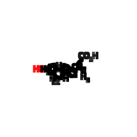 CC[C@H]1C[C@@H]2[C@H](CC[C@]3(C)[C@@H](C(C)CCC(=O)O)CC[C@@H]23)[C@@]2(C)CC[C@@H](O)C[C@@H]12